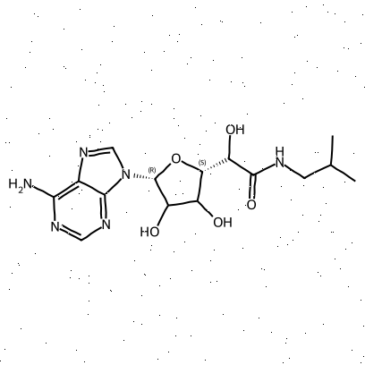 CC(C)CNC(=O)C(O)[C@H]1O[C@@H](n2cnc3c(N)ncnc32)C(O)C1O